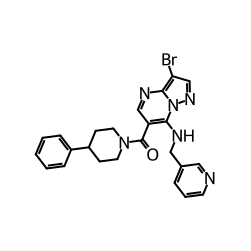 O=C(c1cnc2c(Br)cnn2c1NCc1cccnc1)N1CCC(c2ccccc2)CC1